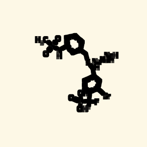 CS(=O)(=O)Nc1cccc(CSCc2ccc(C(F)(F)P(=O)(O)O)c(Br)c2)c1.[NaH].[NaH].[NaH]